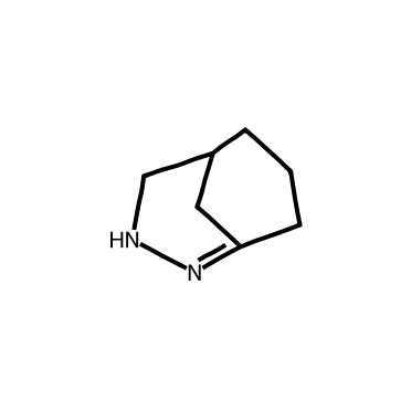 C1CC2=NNCC(C1)C2